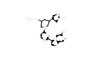 COC1CC(c2cn[nH]c2)CN(c2ccnc(-c3cnc4cnc(C(F)(F)F)cn34)n2)C1